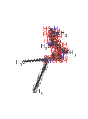 CCCCCCCCCCCCC/C=C/[C@@H](O)[C@H](CO[C@@H]1OC(CO)[C@@H](O[C@@H]2OC(CO)[C@H](O)[C@H](O[C@@H]3OC(CO)[C@@H](O[C@@H]4OC(CO)[C@H](O)[C@H](O[C@]5(C(=O)O)CC(O)[C@@H](NC(C)=O)C([C@H](O)[C@@H](CO)O[C@]6(C(=O)O)CC(O)[C@@H](NC(C)=O)C([C@H](O)[C@H](O)CO)O6)O5)C4O)[C@H](O)C3NC(C)=O)C2O)[C@H](O)C1O)NC(=O)CCCCCCCCCCCCCCCCCCCCC